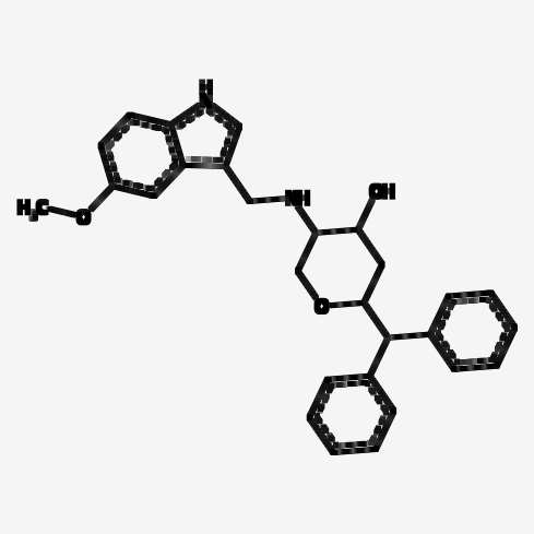 COc1ccc2[nH]cc(CNC3COC(C(c4ccccc4)c4ccccc4)CC3O)c2c1